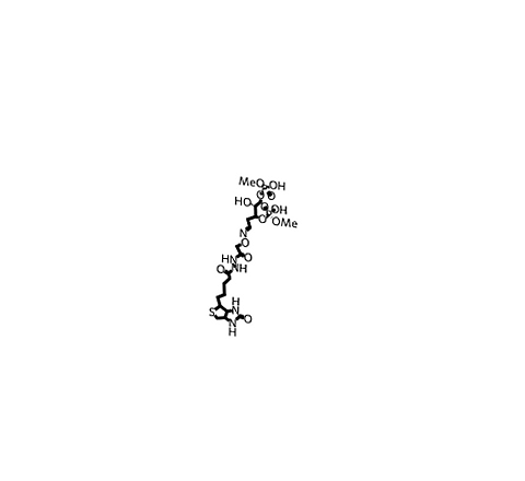 COP(=O)(O)OC[C@@H](O)C(C/C=N/OCC(=O)NNC(=O)CCCCC1SCC2NC(=O)NC21)OP(=O)(O)OC